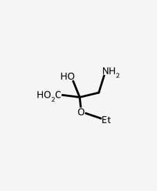 CCOC(O)(CN)C(=O)O